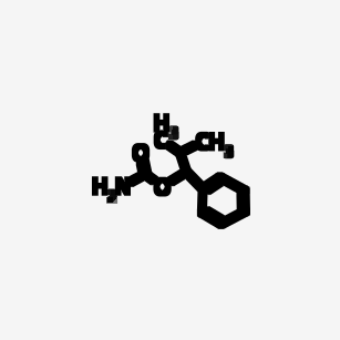 CC(C)C(OC(N)=O)c1ccccc1